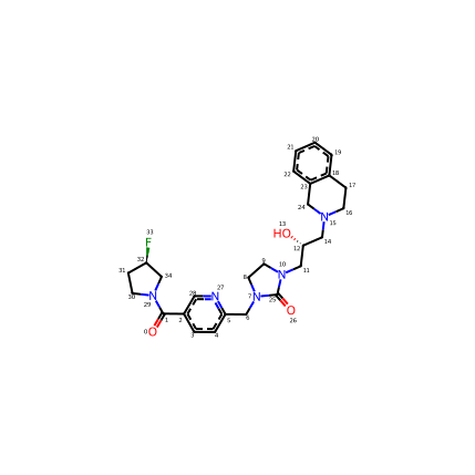 O=C(c1ccc(CN2CCN(C[C@H](O)CN3CCc4ccccc4C3)C2=O)nc1)N1CC[C@@H](F)C1